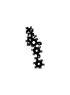 CC(C)(C)[Si](C)(C)O[C@H]1CC[C@H]2C[C@@H](c3ccc(OCc4ccccc4)cc3)C(=O)C[C@@]21C